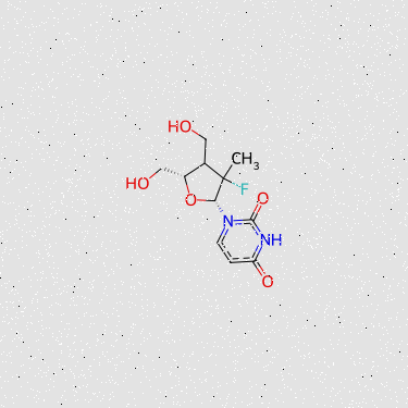 CC1(F)C(CO)[C@@H](CO)O[C@H]1n1ccc(=O)[nH]c1=O